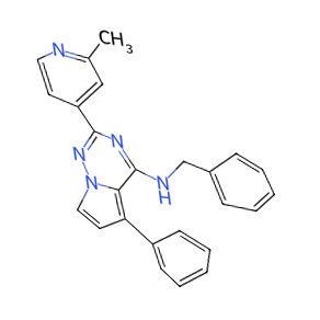 Cc1cc(-c2nc(NCc3ccccc3)c3c(-c4ccccc4)ccn3n2)ccn1